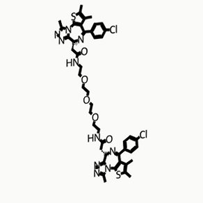 Cc1sc2c(c1C)C(c1ccc(Cl)cc1)=N[C@@H](CC(=O)NCCOCCOCCOCCNC(=O)C[C@@H]1N=C(c3ccc(Cl)cc3)c3c(sc(C)c3C)-n3c(C)nnc31)c1nnc(C)n1-2